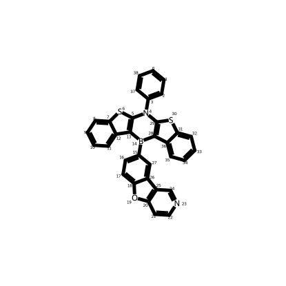 c1ccc(N2c3sc4ccccc4c3B(c3ccc4oc5ccncc5c4c3)c3c2sc2ccccc32)cc1